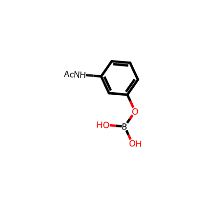 CC(=O)Nc1cccc(OB(O)O)c1